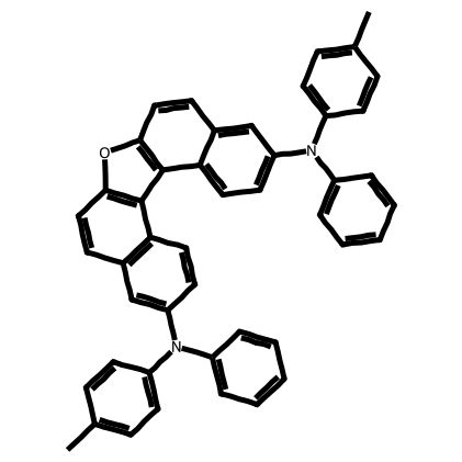 Cc1ccc(N(c2ccccc2)c2ccc3c(ccc4oc5ccc6cc(N(c7ccccc7)c7ccc(C)cc7)ccc6c5c43)c2)cc1